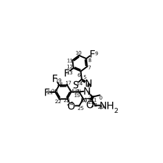 CC(=O)N1N=C(c2cc(F)ccc2F)S[C@]12c1cc(F)c(F)cc1OC[C@@H]2CCN